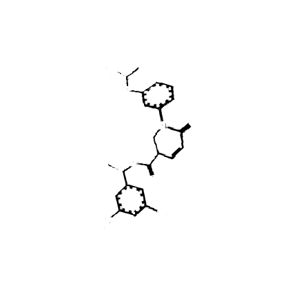 C[C@@H](NC(=O)C1C=CC(=O)N(c2cccc(N[C@H](C)C(F)(F)F)c2)C1)c1cc([N+](=O)[O-])cc(C(F)(F)F)c1